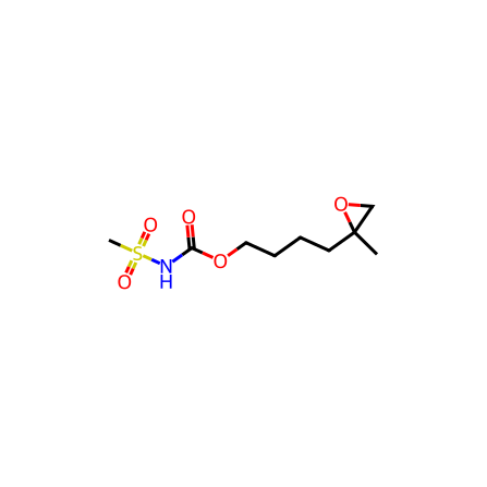 CC1(CCCCOC(=O)NS(C)(=O)=O)CO1